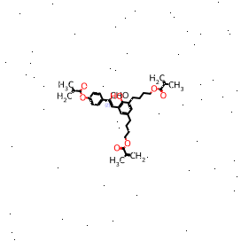 C=C(C)C(=O)OCCCCc1cc(/C=C(\C=O)c2ccc(OC(=O)C(=C)C)cc2)c(O)c(CCCCOC(=O)C(=C)C)c1